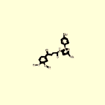 CCOc1ccc(C(=O)CCC(=O)Nc2cc(C(C)(C)C)nn2-c2ccc(C(C)(C)C)cc2)cc1OCC